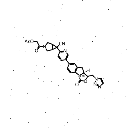 CC(=O)OCC(=O)N1CC2C(C1)C2(C#N)c1ccc(-c2ccc3c(c2)C[C@H]2C(Cn4ccnn4)OC(=O)N32)cn1